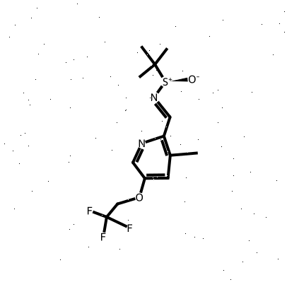 Cc1cc(OCC(F)(F)F)cnc1C=N[S@+]([O-])C(C)(C)C